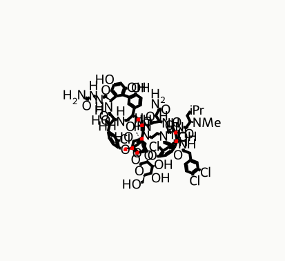 CN[C@H](CC(C)C)C(=O)N[C@H]1C(=O)N[C@@H](CC(N)=O)C(=O)N[C@H]2C(=O)N[C@H]3C(=O)N[C@H](C(=O)N[C@@H](C(=O)NNC(N)=O)c4cc(O)cc(O)c4-c4cc3ccc4O)[C@H](O)c3ccc(c(Cl)c3)Oc3cc2cc(c3O[C@@H]2O[C@H](CO)[C@@H](O)[C@H](O)[C@H]2O[C@H]2C[C@](C)(NCCn3ccc(NC(=O)Cc4ccc(Cl)c(Cl)c4)nc3=O)[C@H](O)[C@H](C)O2)Oc2ccc(cc2Cl)[C@H]1O